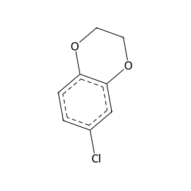 Clc1ccc2c(c1)OCCO2